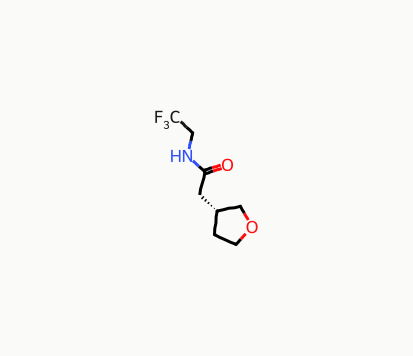 O=C(C[C@H]1CCOC1)NCC(F)(F)F